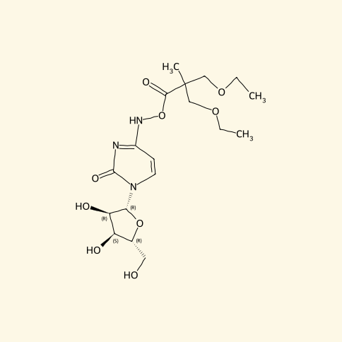 CCOCC(C)(COCC)C(=O)ONc1ccn([C@@H]2O[C@H](CO)[C@@H](O)[C@H]2O)c(=O)n1